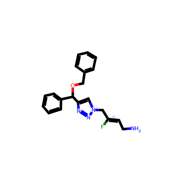 NC/C=C(\F)Cn1cc(C(OCc2ccccc2)c2ccccc2)nn1